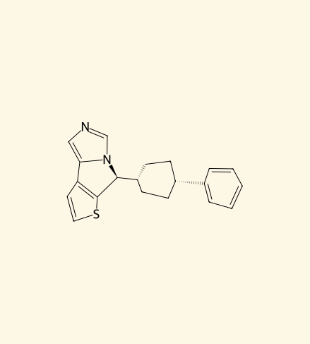 c1ccc([C@H]2CC[C@@H]([C@H]3c4sccc4-c4cncn43)CC2)cc1